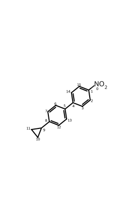 O=[N+]([O-])c1ccc(-c2ccc(C3CC3)cc2)cc1